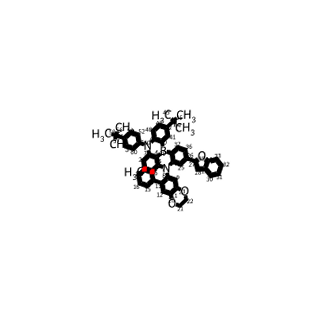 Cc1cc2c3c(c1)N(c1cc4c(cc1-c1ccccc1)OCCO4)c1cc(-c4cc5ccccc5o4)ccc1B3c1cc(C(C)(C)C)ccc1N2c1ccc(C(C)(C)C)cc1